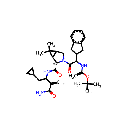 C=C(NC(C(=O)N1CC2C([C@H]1C(=O)NC(CC1CC1)C(=C)C(N)=O)C2(C)C)C1Cc2ccccc2C1)OC(C)(C)C